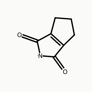 O=C1[N]C(=O)C2=C1CCC2